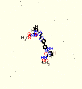 COC(=O)NCC(=O)N1[C@@H]2C[C@@H]2C[C@H]1c1ncc(-c2cnc3cc(-c4ccc5nc([C@@H]6C[C@H]7C[C@H]7N6C(=O)CNC(=O)OC)[nH]c5c4)ccc3n2)[nH]1